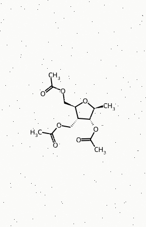 CC(=O)OC[C@H]1[C@@H](OC(C)=O)[C@H](C)O[C@@H]1COC(C)=O